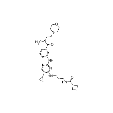 CN(CCN1CCOCC1)C(=O)c1cccc(Nc2ncc(C3CC3)c(NCCCNC(=O)C3CCC3)n2)c1